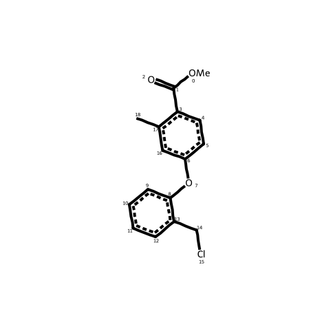 COC(=O)c1ccc(Oc2ccccc2CCl)cc1C